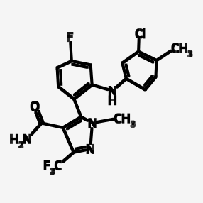 Cc1ccc(Nc2cc(F)ccc2-c2c(C(N)=O)c(C(F)(F)F)nn2C)cc1Cl